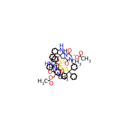 CC(=O)OC[C@H]1C(=O)N2[C@H]3Nc4ccccc4[C@@]3(CC[C@]34C[C@]5(SSSC(c6ccccc6)(c6ccccc6)c6ccccc6)C(=O)N(C)[C@@H](COC(C)=O)C(=O)N5[C@H]3Nc3ccccc34)C[C@]2(SSSC(c2ccccc2)(c2ccccc2)c2ccccc2)C(=O)N1C